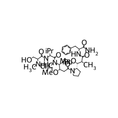 CCC(C)C(C(CC(=O)N1CCC[C@H]1C(OC)C(C)C(=O)NC(Cc1ccccc1)C(N)=O)OC)N(C)C(=O)C(NC(=O)C(CO)N(C)C)C(C)C